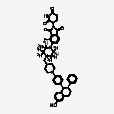 [2H]C1([2H])N(CC2CCN(c3ccc([C@@H]4c5ccc(O)cc5CC[C@@H]4c4ccccc4)cc3)CC2)C([2H])([2H])C([2H])([2H])N(c2ccc3c(c2F)C(=O)N(C2CCC(=O)NC2=O)C3=O)C1([2H])[2H]